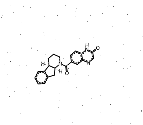 O=C(c1ccc2[nH]c(=O)cnc2c1)N1CCC[C@@H]2c3ccccc3C[C@@H]21